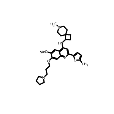 COc1cc2c(NC3CCC34CCN(C)CC4)cc(-c3ccc(C)o3)nc2cc1OCCCN1CCCC1